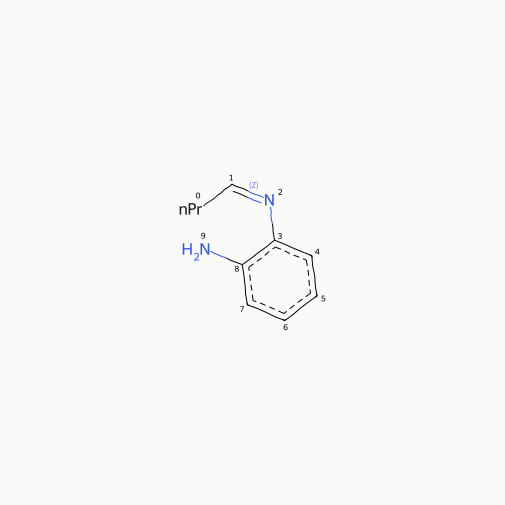 CCC/C=N\c1ccccc1N